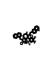 C[C@@H]1CCN([C@H](Cc2cccc3ccccc23)C(N)=O)C(=O)[C@H](c2ccc(F)c(F)c2)N1C(=O)Cc1ccc2ncccc2c1